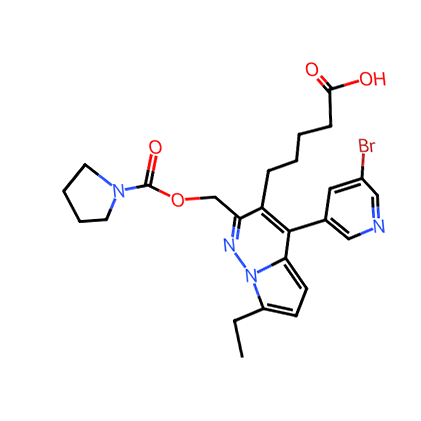 CCc1ccc2c(-c3cncc(Br)c3)c(CCCCC(=O)O)c(COC(=O)N3CCCC3)nn12